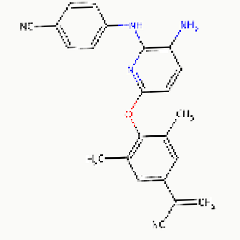 C=C(C#N)c1cc(C)c(Oc2ccc(N)c(Nc3ccc(C#N)cc3)n2)c(C)c1